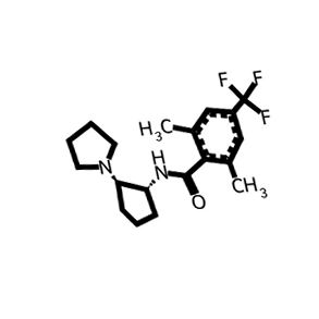 Cc1cc(C(F)(F)F)cc(C)c1C(=O)N[C@@H]1CCC[C@@H]1N1CCCC1